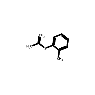 C=C(C)Sc1ccccc1C